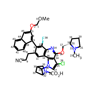 COCOc1cc(-c2c(CCC#N)cc3c(nc(OC[C@@H]4CCCN4C)c4c(Cl)cn(C5C6CC5N(C(=O)O)C6)c43)c2F)c2ccccc2c1